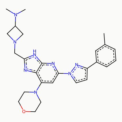 Cc1cccc(-c2ccn(-c3cc(N4CCOCC4)c4nc(CN5CC(N(C)C)C5)[nH]c4n3)n2)c1